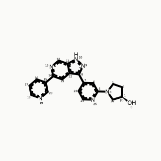 O[C@@H]1CCN(c2cc(-c3n[nH]c4cnc(-c5cccnc5)cc34)ccn2)C1